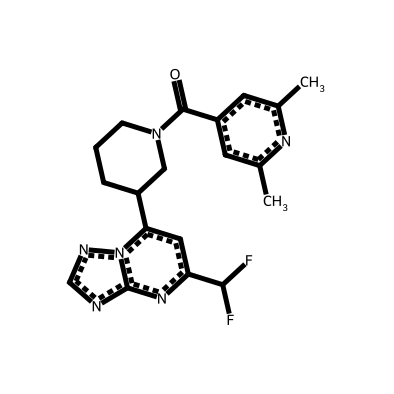 Cc1cc(C(=O)N2CCCC(c3cc(C(F)F)nc4ncnn34)C2)cc(C)n1